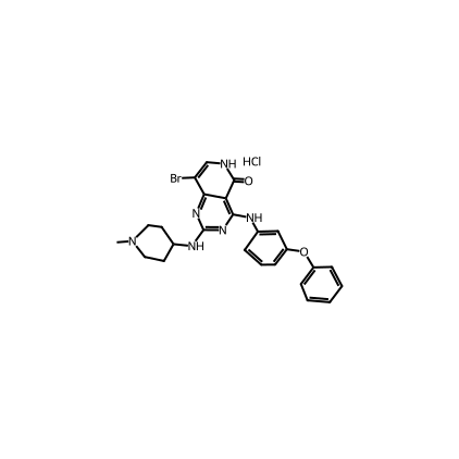 CN1CCC(Nc2nc(Nc3cccc(Oc4ccccc4)c3)c3c(=O)[nH]cc(Br)c3n2)CC1.Cl